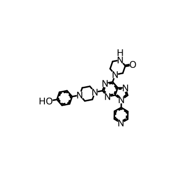 O=C1CN(c2nc(N3CCN(c4ccc(O)cc4)CC3)nc3c2ncn3-c2ccncc2)CCN1